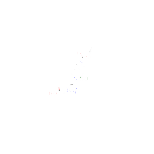 CC(C)(C)OC(=O)N1CC2(CCN(c3cnn(CC(=O)O)c3)CC2)C1.Cl